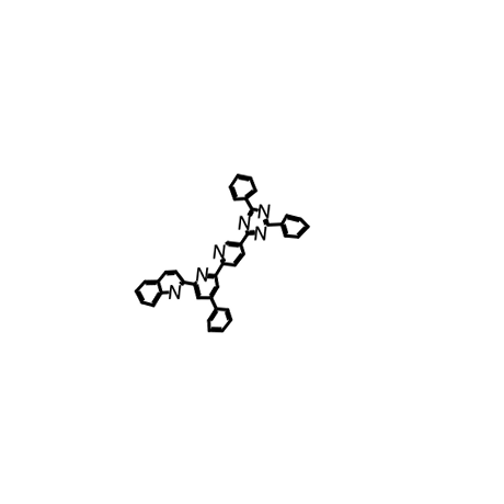 c1ccc(-c2cc(-c3ccc(-c4nc(-c5ccccc5)nc(-c5ccccc5)n4)cn3)nc(-c3ccc4ccccc4n3)c2)cc1